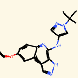 COc1ccc2nc(Nc3cnn(C(C)(C)C)c3)c3[nH]ncc3c2c1